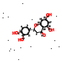 O=C1C[C@H](c2ccc(O)c(O)c2)Oc2cc(O)cc(O)c21